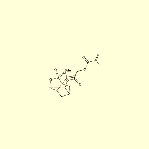 C=C(C)C(=O)OCC(=O)OC1C2CC3C1OS(=O)(=O)C3(C(=O)OC)C2